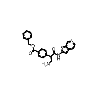 NCC(C(=O)Nc1cc2ccncc2s1)c1ccc(C(=O)OCc2ccccc2)cc1